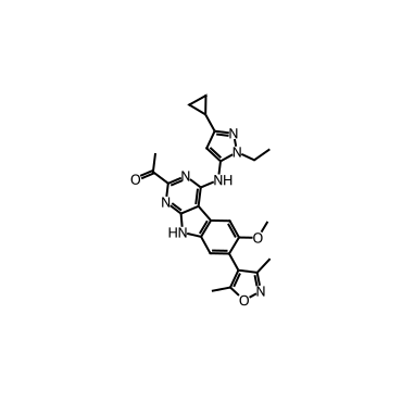 CCn1nc(C2CC2)cc1Nc1nc(C(C)=O)nc2[nH]c3cc(-c4c(C)noc4C)c(OC)cc3c12